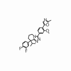 COc1cc(-c2nnc3n2CCCC3(c2ccc(F)c(F)c2)C(C)C)ccc1-c1cnc(C)o1